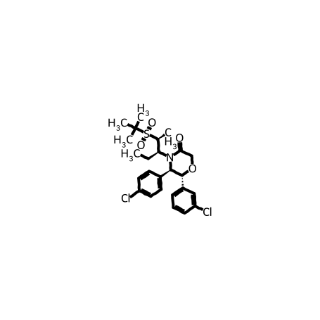 CC[C@@H]([C@H](C)S(=O)(=O)C(C)(C)C)N1C(=O)CO[C@H](c2cccc(Cl)c2)[C@H]1c1ccc(Cl)cc1